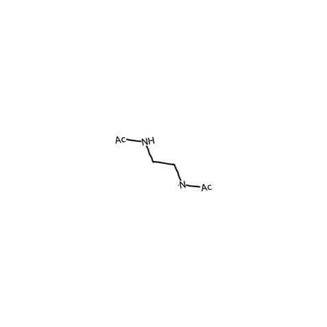 CC(=O)[N]CCNC(C)=O